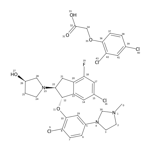 CN1CCN(c2ccc(Cl)c(O[C@H]3c4cc(Cl)cc(F)c4C[C@@H]3N3CC[C@@H](O)C3)c2)C1.O=C(O)COc1ccc(Cl)cc1Cl